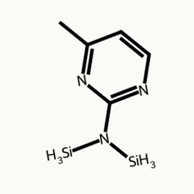 Cc1ccnc(N([SiH3])[SiH3])n1